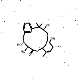 CC[C@H](/C=C(/C)C1CCC[C@H](O)C(C)(C)c2cccc(c2)C[C@@H](O)[C@H](O)C(=O)O1)CO